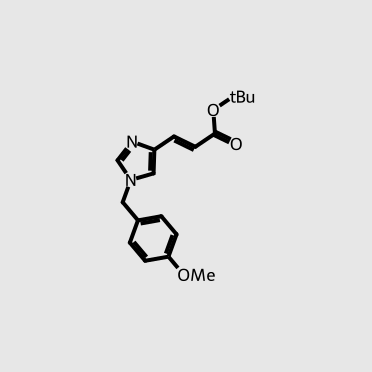 COc1ccc(Cn2cnc(C=CC(=O)OC(C)(C)C)c2)cc1